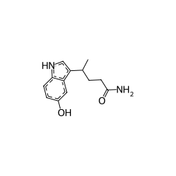 CC(CCC(N)=O)c1c[nH]c2ccc(O)cc12